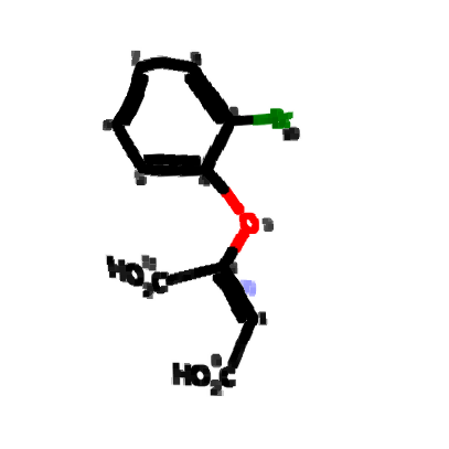 O=C(O)/C=C(/Oc1ccccc1Br)C(=O)O